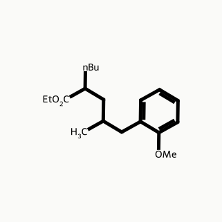 CCCCC(CC(C)Cc1ccccc1OC)C(=O)OCC